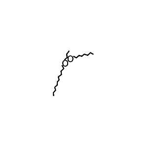 CCCCCCCCCCCCOCC(CC)OCCCCCCCC